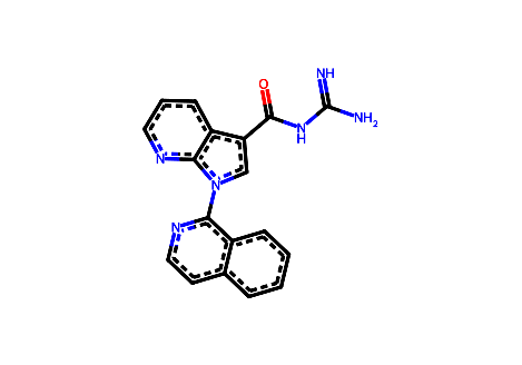 N=C(N)NC(=O)c1cn(-c2nccc3ccccc23)c2ncccc12